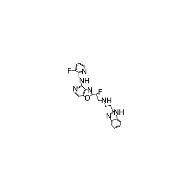 Fc1cccnc1CNc1nccc2oc([C@@H](F)CNCCc3nc4ccccc4[nH]3)nc12